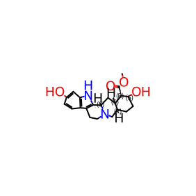 COC(=O)[C@@H]1[C@H]2C[C@H]3c4[nH]c5cc(O)ccc5c4CCN3C[C@@H]2CC[C@@H]1O